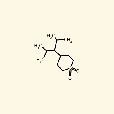 CC(C)C(C(C)C)C1CCS(=O)(=O)CC1